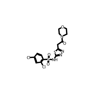 O=C(Cc1nnc(NS(=O)(=O)c2ccc(Cl)cc2Cl)s1)N1CCOCC1